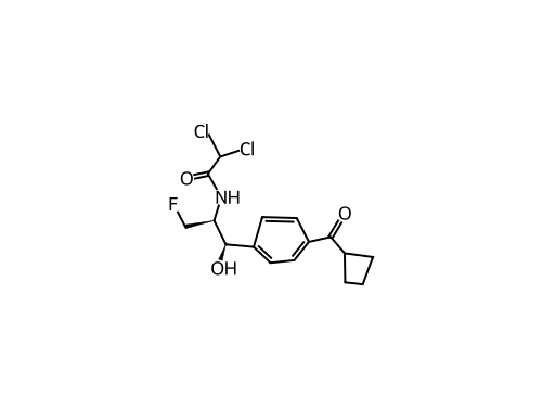 O=C(N[C@H](CF)[C@H](O)c1ccc(C(=O)C2CCC2)cc1)C(Cl)Cl